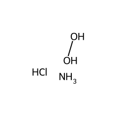 Cl.N.OO